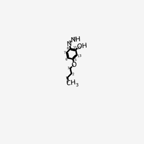 CCCCOc1ccc(N=N)c(O)c1